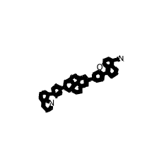 N#Cc1ccc2c3c(cccc13)-c1ccc(-c3cc4ccc5cc(-c6ccc(-c7cccc8cccnc78)cc6)cc6ccc(c3)c4c56)cc1O2